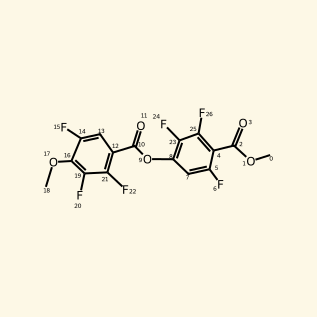 COC(=O)c1c(F)cc(OC(=O)c2cc(F)c(OC)c(F)c2F)c(F)c1F